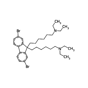 CCN(CC)CCCCCCC1(CCCCCCN(CC)CC)c2cc(Br)ccc2-c2ccc(Br)cc21